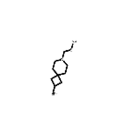 CCCC1CC2(CCN(CSS)CC2)C1